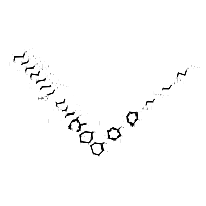 CCCCCCCCCCC=CC(=O)O.CCCCCCCCCCCC(=O)O.CCCCCCCCCCCC(C(=O)O)C(=O)O.CNCCO.CNCCO.CNCCO.CNCCO.CNCCO.CNCCO.CNCCO.CNCCO.CNCCO.CNCCO.O=C(O)C1=CCCCC1.O=C(O)C1CCCCC1.O=C(O)c1ccccc1.O=C(O)c1ccccc1C(=O)O.Oc1ccccc1